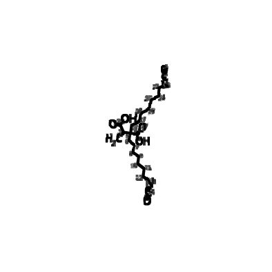 C=C(C(=O)O)C(CCCCCCCN=C=O)(CCCCCCCN=C=O)C(=O)O